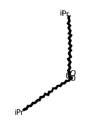 CC(C)CCCCCCCCCCCCCCCCCCCCCCC(=O)OC(=O)CCCCCCCCCCCCCCCCCCCCCCC(C)C